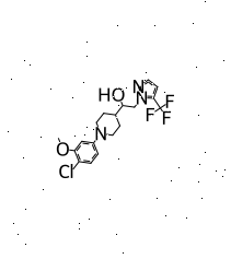 COc1cc(N2CCC(C(O)Cn3nccc3C(F)(F)F)CC2)ccc1Cl